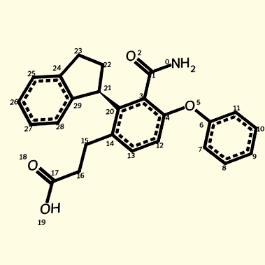 NC(=O)c1c(Oc2ccccc2)ccc(CCC(=O)O)c1[C@@H]1CCc2ccccc21